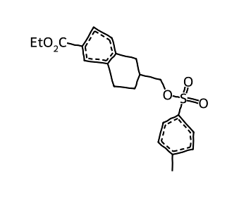 CCOC(=O)c1ccc2c(c1)CCC(COS(=O)(=O)c1ccc(C)cc1)C2